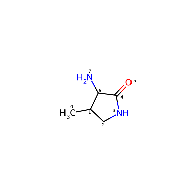 CC1CNC(=O)C1N